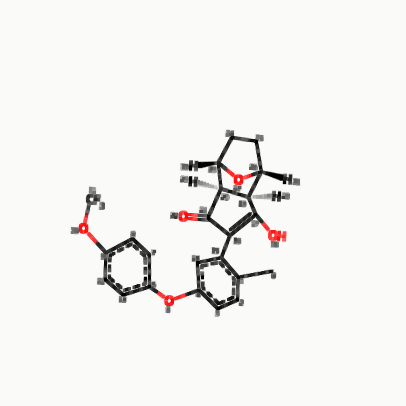 Cc1ccc(Oc2ccc(OC(F)(F)F)cc2)cc1C1=C(O)[C@H]2[C@@H](C1=O)[C@@H]1CC[C@H]2O1